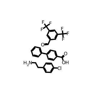 NCCc1ccc(Cl)cc1.O=C(O)c1ccc(-c2ccccc2)cc1.O=Cc1cc(C(F)(F)F)cc(C(F)(F)F)c1